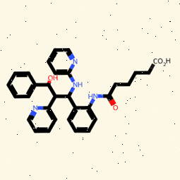 O=C(O)CCCCC(=O)Nc1ccccc1C(Nc1ccccn1)C(c1ccccn1)C(O)c1ccccc1